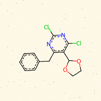 Clc1nc(Cl)c(C2OCCO2)c(Cc2ccccc2)n1